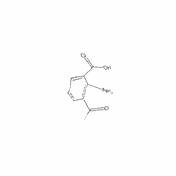 CC(=O)c1cccc(C(=O)O)c1N